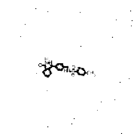 Cc1ccc(S(=O)(=O)NCc2ccc(-c3n[nH]c(=O)c4ccccc34)cc2)cc1